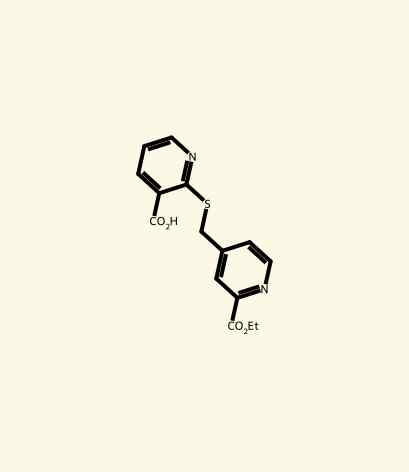 CCOC(=O)c1cc(CSc2ncccc2C(=O)O)ccn1